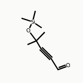 CC(C)(C#CC=O)O[Si](C)(C)C